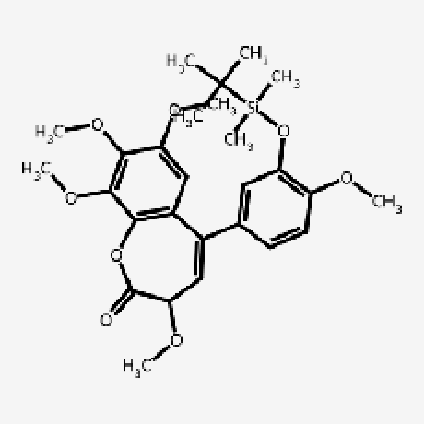 COc1ccc(C2=CC(OC)C(=O)Oc3c2cc(OC)c(OC)c3OC)cc1O[Si](C)(C)C(C)(C)C